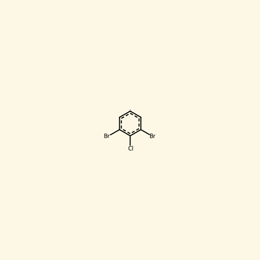 Clc1c(Br)c[c]cc1Br